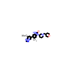 COc1cc(-c2cc3[nH]c(=O)n([C@@H]4CCCN(CC5CCOCC5)C4)c3cc2C(F)(F)F)cn2ncnc12